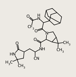 CC1(C)CC(CC(C#N)NC(=O)C2C3C(CN2C(=O)C(NC(=O)C(F)(F)F)C24CC5CC(CC(C5)C2)C4)C3(C)C)C(=O)N1